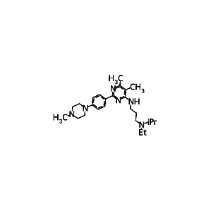 CCN(CCCNc1nc(-c2ccc(N3CCN(C)CC3)cc2)nc(C)c1C)C(C)C